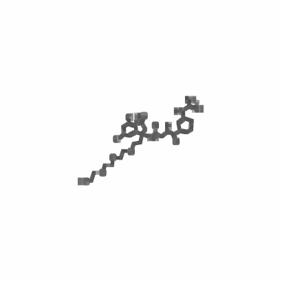 N=C(N)Nc1cccc(C(=O)NCC(=O)NC(CCOCCOCCOCCO)(CC(=O)O)c2cc(Cl)cc(Cl)c2)c1